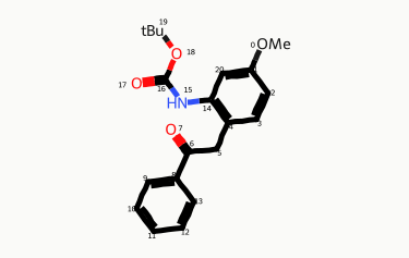 COc1ccc(CC(=O)c2ccccc2)c(NC(=O)OC(C)(C)C)c1